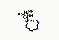 CCCCC/C=C\C/C=C\C/C=C\C/C=C\CCCC(=O)NC(=N)N(C)CC(C)=O